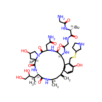 C=C1C[C@@H](C)NC(=O)[C@H]([C@@H](C)C(O)CO)NC(=O)[C@@H]2CC(O)CN2C(=O)C(CC(N)=O)NC(=O)[C@@H](NC(=O)CNC(=O)C(NC(=O)CN)[C@@H](C)CC)Cc2c1ccc(O)c2CSC1CCNC1